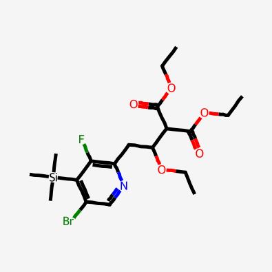 CCOC(=O)C(C(=O)OCC)C(Cc1ncc(Br)c([Si](C)(C)C)c1F)OCC